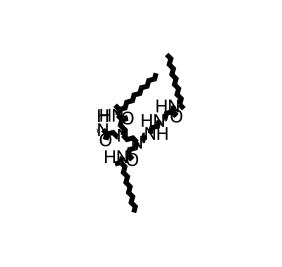 CCCCCCCCCCC(C)NC(=O)CCNCCNCCN(CCC(=O)NC(C)CCCCCCCCCC)CCN(CCC(=O)NC)CCC(=O)NC(C)CCCCCCCCCC